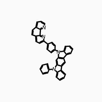 c1ccc(-n2c3ccccc3c3cc4c5ccccc5n(-c5ccc(-c6ccc7ccc8cccnc8c7n6)cc5)c4cc32)cc1